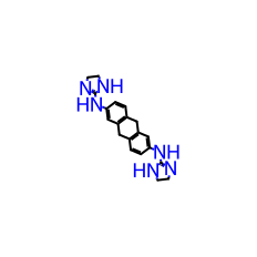 c1cc2c(cc1NC1=NCCN1)Cc1ccc(NC3=NCCN3)cc1C2